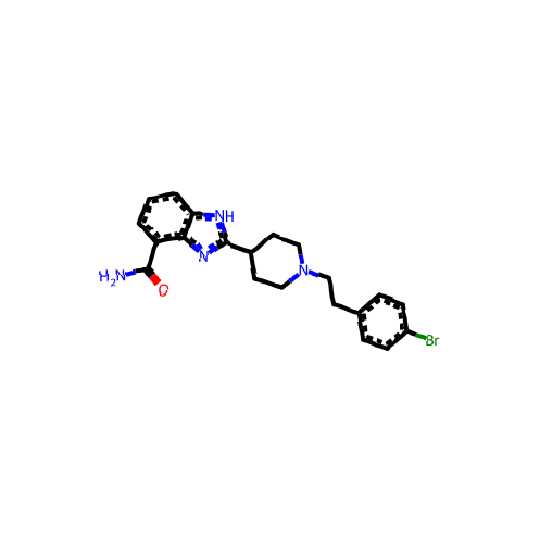 NC(=O)c1cccc2[nH]c(C3CCN(CCc4ccc(Br)cc4)CC3)nc12